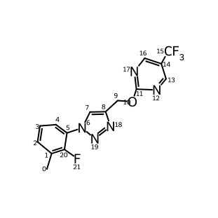 Cc1cccc(-n2cc(COc3ncc(C(F)(F)F)cn3)nn2)c1F